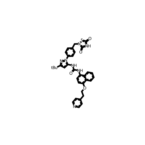 CC(C)(C)c1cc(NC(=O)Nc2ccc(OCCc3ccncc3)c3ccccc23)n(-c2ccc(Cn3sc(=O)[nH]c3=O)cc2)n1